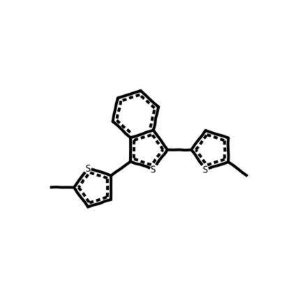 Cc1ccc(-c2sc(-c3ccc(C)s3)c3ccccc23)s1